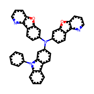 c1ccc(-n2c3ccccc3c3ccc(N(c4ccc5c(c4)oc4cccnc45)c4ccc5c(c4)oc4cccnc45)cc32)cc1